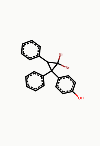 Oc1ccc(C2(c3ccccc3)C(c3ccccc3)C2(Br)Br)cc1